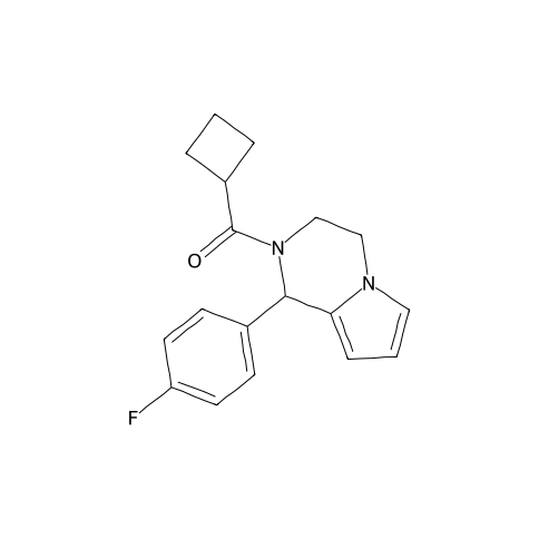 O=C(C1CCC1)N1CCn2cccc2C1c1ccc(F)cc1